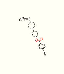 C#Cc1ccc(C(=O)OC2CCC(C3CCC(CCCCC)CC3)CC2)cc1